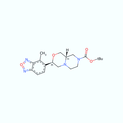 Cc1c([C@@H]2CN3CCN(C(=O)OC(C)(C)C)C[C@H]3CO2)ccc2nonc12